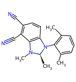 Cc1cccc(C)c1N1c2ccc(C#N)c(C#N)c2N(C)[C@@H]1C